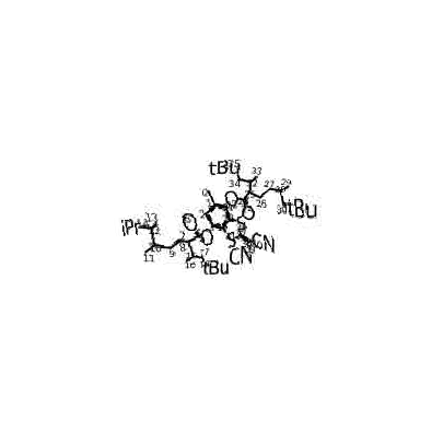 Cc1cc(OC(=O)C(CCC(C)C(C)C(C)C)C(C)CC(C)(C)C)c2c(c1OC(=O)C(CCC(C)CC(C)(C)C)C(C)CC(C)(C)C)SC(=C(C#N)C#N)S2